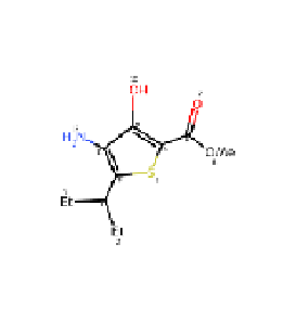 CCC(CC)c1sc(C(=O)OC)c(O)c1N